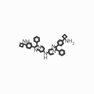 NC1(c2ccc(-c3nc4cc(Nc5ccn6c(-c7ccccc7)c(-c7ccc(C8(N)CCC8)cc7)nc6c5)ccn4c3-c3ccccc3)cc2)CCC1